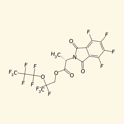 C[C@@H](C(=O)OCC(F)(OC(F)(F)C(F)(F)C(F)(F)F)C(F)(F)F)N1C(=O)c2c(F)c(F)c(F)c(F)c2C1=O